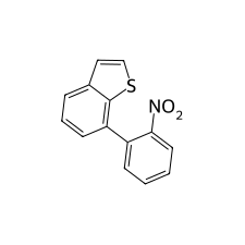 O=[N+]([O-])c1ccccc1-c1cccc2ccsc12